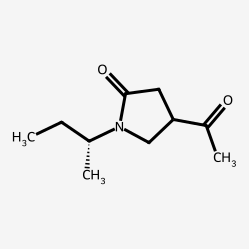 CC[C@@H](C)N1CC(C(C)=O)CC1=O